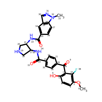 COc1ccc(O)c(C(=O)c2ccc(C(=O)NC3CNC[C@H]3NC(=O)c3ccc4c(cnn4C)c3)cc2)c1F